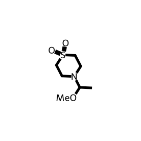 COC(C)N1CCS(=O)(=O)CC1